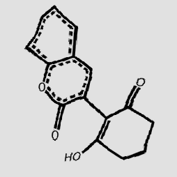 O=C1CCCC(O)=C1c1cc2ccccc2oc1=O